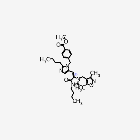 CCCCc1ncc(/C=C2\C(=O)N(CCCC)C(=O)N2Cc2c(C)noc2C)n1Cc1ccc(C(=O)OC)cc1